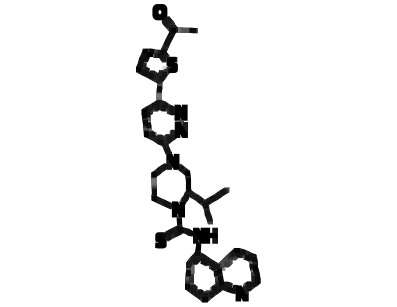 CC(=O)c1ccc(-c2ccc(N3CCN(C(=S)Nc4cccc5ncccc45)C(C(C)C)C3)nn2)s1